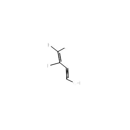 C/C=C/C(F)=C(F)F